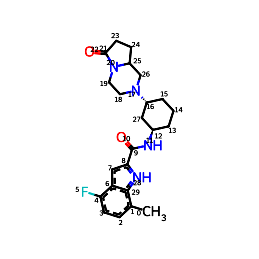 Cc1ccc(F)c2cc(C(=O)N[C@@H]3CCC[C@@H](N4CCN5C(=O)CCC5C4)C3)[nH]c12